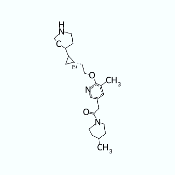 Cc1cc(CC(=O)N2CCC(C)CC2)cnc1OCC[C@@H]1CC1C1CCNCC1